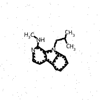 CNc1nccc2c3ccccc3n(CC(C)C)c12